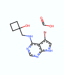 O=CO.OC1(CNc2ncnc3[nH]cc(Br)c23)CCC1